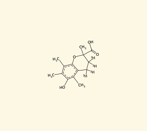 [2H]C1([2H])c2c(C)c(O)c(C)c(C)c2OC(C)(C(=O)O)C1([2H])[2H]